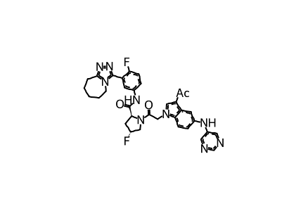 CC(=O)c1cn(CC(=O)N2C[C@H](F)C[C@H]2C(=O)Nc2ccc(F)c(-c3nnc4n3CCCCC4)c2)c2ccc(Nc3cncnc3)cc12